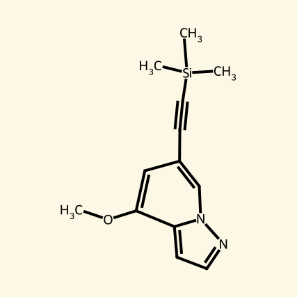 COc1cc(C#C[Si](C)(C)C)cn2nccc12